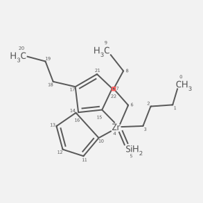 CCC[CH2][Zr](=[SiH2])([CH2]CCC)([C]1=CC=CC1)[C]1=CC(CCC)=CC1